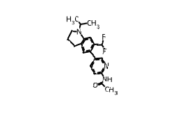 CC(=O)Nc1ccc(-c2cc3c(cc2C(F)F)N(C(C)C)CCC3)cn1